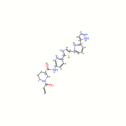 C=CC(=O)N1CCC[C@H](C(=O)Nc2ccc(-c3ncc(-c4cccc(-c5ccn[nH]5)n4)s3)nc2)C1